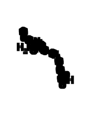 NC(=O)c1c(-c2ccc(Oc3ccccc3)cc2)nn2c1Nc1ccc(C3CCN(CC4CCN(c5ccc(N6CCC(=O)NC6=O)cc5)CC4)CC3)cc1CC2